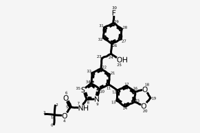 CC(C)(C)OC(=O)Nc1nc2c(-c3ccc4c(c3)OCO4)cc(CC(O)c3ccc(F)cc3)cc2s1